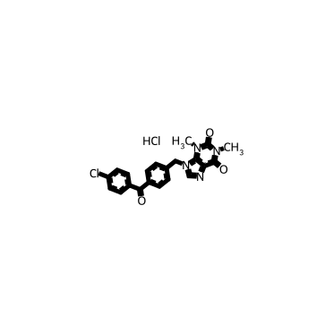 Cl.Cn1c(=O)c2ncn(Cc3ccc(C(=O)c4ccc(Cl)cc4)cc3)c2n(C)c1=O